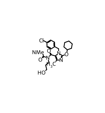 CNC(=O)N(CCCO)C(=O)c1c(C)nc(OC2CCCCC2)n1Cc1ccc(Cl)cc1